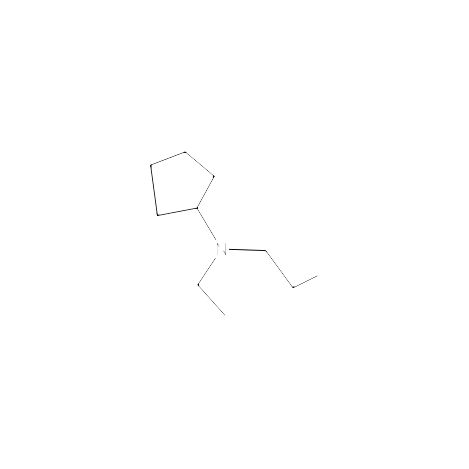 [CH2]CN(CCC)C1CCCC1